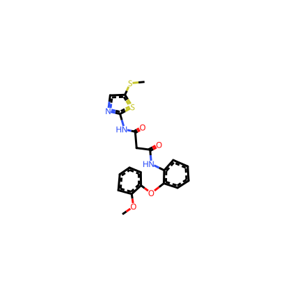 COc1ccccc1Oc1ccccc1NC(=O)CC(=O)Nc1ncc(SC)s1